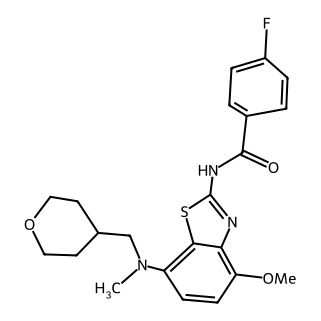 COc1ccc(N(C)CC2CCOCC2)c2sc(NC(=O)c3ccc(F)cc3)nc12